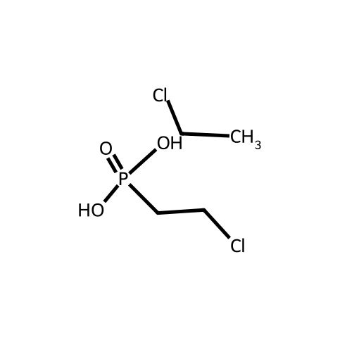 CCCl.O=P(O)(O)CCCl